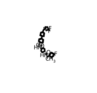 C[C@@H](NC(=O)[C@H]1CC[C@H](NS(=O)(=O)c2ccc(-c3ccc(CN4CCC(F)(F)C4)cc3)cc2)CC1)c1ccc(F)cc1